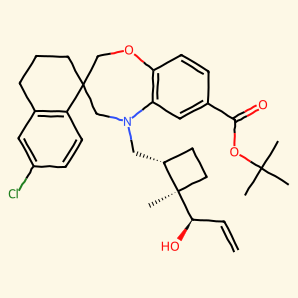 C=C[C@@H](O)[C@]1(C)CC[C@H]1CN1CC2(CCCc3cc(Cl)ccc32)COc2ccc(C(=O)OC(C)(C)C)cc21